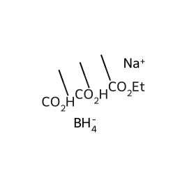 CC(=O)O.CC(=O)O.CCOC(C)=O.[BH4-].[Na+]